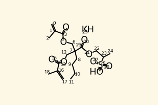 C=C(C)C(=O)OCC(CCCC)(COC(=O)C(=C)C)C(=O)OCC(C)S(=O)(=O)O.[KH]